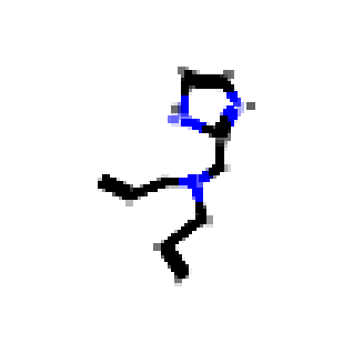 C=CCN(CC=C)Cc1ncc[nH]1